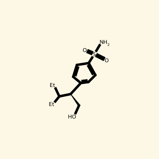 CCC(CC)[C@H](CO)c1ccc(S(N)(=O)=O)cc1